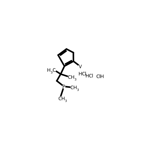 CP(C)CC(C)(C)C1=[C]([V])CC=C1.Cl.Cl.Cl